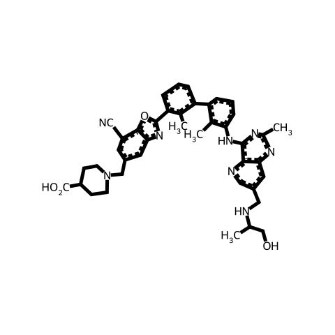 Cc1nc(Nc2cccc(-c3cccc(-c4nc5cc(CN6CCC(C(=O)O)CC6)cc(C#N)c5o4)c3C)c2C)c2ncc(CNC(C)CO)cc2n1